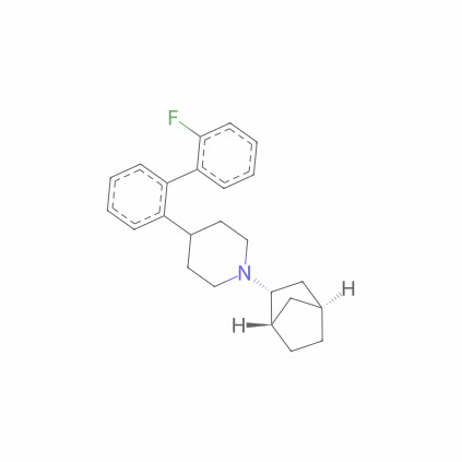 Fc1ccccc1-c1ccccc1C1CCN([C@@H]2C[C@H]3CC[C@H]2C3)CC1